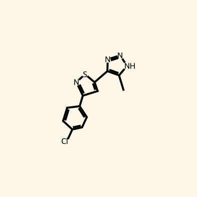 Cc1[nH]nnc1-c1cc(-c2ccc(Cl)cc2)ns1